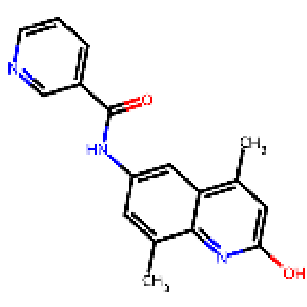 Cc1cc(O)nc2c(C)cc(NC(=O)c3cccnc3)cc12